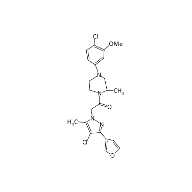 COc1cc(N2CCN(C(=O)Cn3nc(-c4ccoc4)c(Cl)c3C)C(C)C2)ccc1Cl